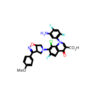 COc1ccc(C2=NOC3CN(c4c(F)cc5c(=O)c(C(=O)O)cn(-c6cc(N)c(F)cc6F)c5c4Cl)CC23)cc1